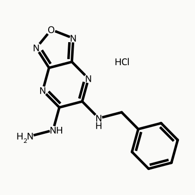 Cl.NNc1nc2nonc2nc1NCc1ccccc1